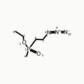 CCOP(C)(=O)CCN=[N+]=[N-]